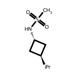 CC(C)[C@H]1C[C@H](NS(C)(=O)=O)C1